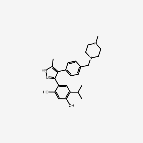 Cc1[nH]nc(-c2cc(C(C)C)c(O)cc2O)c1-c1ccc(CN2CCN(C)CC2)cc1